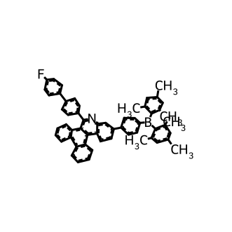 Cc1cc(C)c(B(c2ccc(-c3ccc4c(c3)nc(-c3ccc(-c5ccc(F)cc5)cc3)c3c5ccccc5c5ccccc5c43)cc2)c2c(C)cc(C)cc2C)c(C)c1